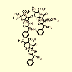 CC1(C)S[C@@H]2[C@H](NC(=O)[C@H](N)c3ccccc3)C(=O)N2[C@H]1C(=O)O.CC1=C(C(=O)O)N2C(=O)[C@@H](NC(=O)[C@H](N)c3ccccc3)[C@H]2SC1.CC1=C(C(=O)O)N2C(=O)[C@@H](NC(=O)[C@H](N)c3ccccc3)[C@H]2SC1.O.O.O